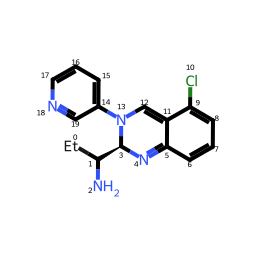 CCC(N)[C@@H]1N=c2cccc(Cl)c2=CN1c1cccnc1